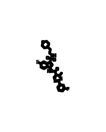 Cc1nc(-c2cccc(F)c2)ncc1C(=O)Nn1cc(S(=O)(=O)NCCN2CCOCC2)c2cc(F)ccc21